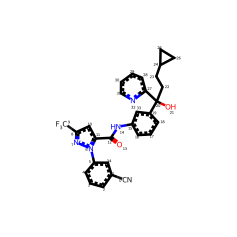 N#Cc1cccc(-n2nc(C(F)(F)F)cc2C(=O)Nc2cccc(C(O)(CCC3CC3)c3ccccn3)c2)c1